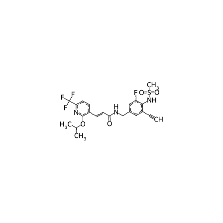 C#Cc1cc(CNC(=O)/C=C/c2ccc(C(F)(F)F)nc2OC(C)C)cc(F)c1NS(C)(=O)=O